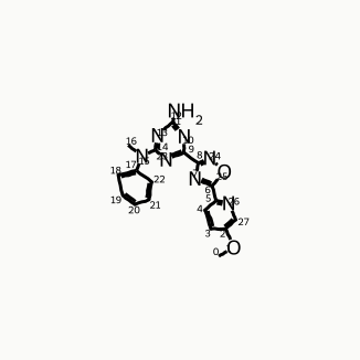 COc1ccc(-c2nc(-c3nc(N)nc(N(C)c4ccccc4)n3)no2)nc1